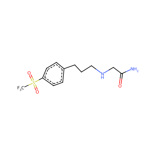 NC(=O)CNCCCc1ccc(S(=O)(=O)C(F)(F)F)cc1